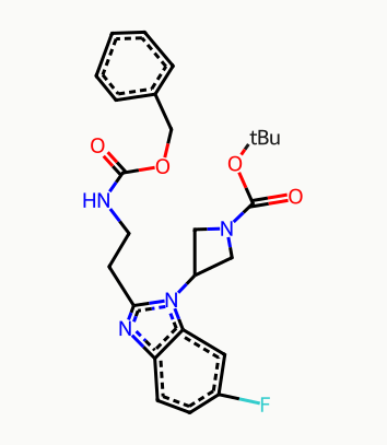 CC(C)(C)OC(=O)N1CC(n2c(CCNC(=O)OCc3ccccc3)nc3ccc(F)cc32)C1